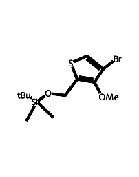 COc1c(Br)csc1CO[Si](C)(C)C(C)(C)C